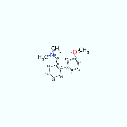 COc1cccc(C2=C(CN(C)C)CCCC2)c1